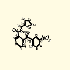 O=c1c2cccnc2c(-c2cccc([N+](=O)[O-])c2)nn1Cc1cccs1